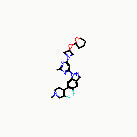 Cc1nc(N2CC(OC3CCCCO3)C2)cc(-n2ncc3cc(F)c(C4CCN(C)CC4F)cc32)n1